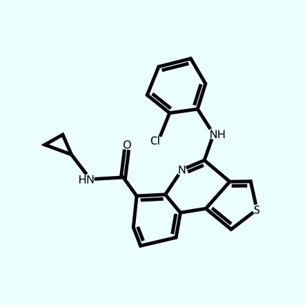 O=C(NC1CC1)c1cccc2c1nc(Nc1ccccc1Cl)c1cscc12